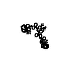 CCC1(OC(=O)COC(=O)CCC(OC(=O)C(C)(F)F)C(=O)OCC(=O)OC2(CC)C3CC4CC(C3)CC2C4)C2CC3CC(C2)CC1C3